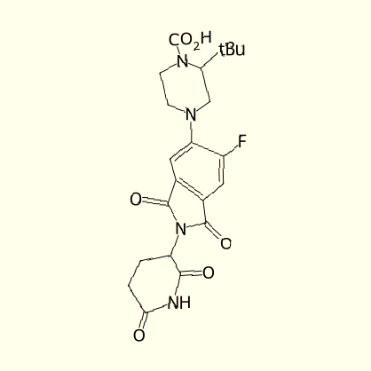 CC(C)(C)C1CN(c2cc3c(cc2F)C(=O)N(C2CCC(=O)NC2=O)C3=O)CCN1C(=O)O